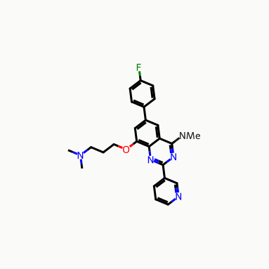 CNc1nc(-c2cccnc2)nc2c(OCCCN(C)C)cc(-c3ccc(F)cc3)cc12